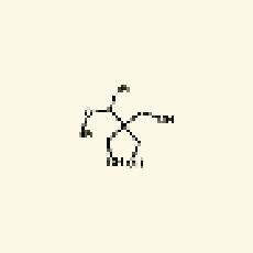 CCCOC(CCC)C(CO)(CO)CO